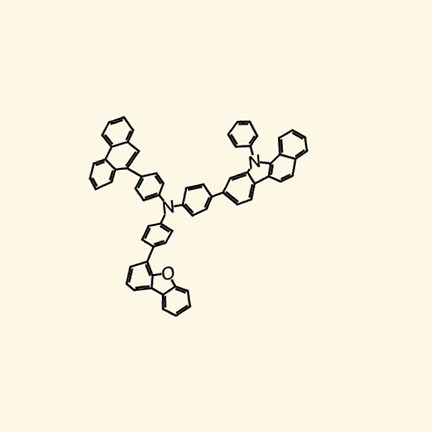 c1ccc(-n2c3cc(-c4ccc(N(c5ccc(-c6cc7ccccc7c7ccccc67)cc5)c5ccc(-c6cccc7c6oc6ccccc67)cc5)cc4)ccc3c3ccc4ccccc4c32)cc1